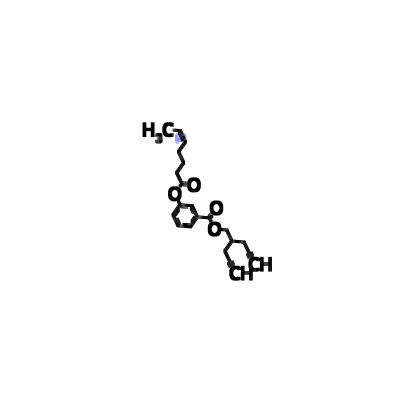 C#CCC(CC#C)COC(=O)c1cccc(OC(=O)CCC/C=C\C)c1